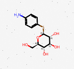 Nc1ccc(S[C@@H]2O[C@H](CO)[C@@H](O)[C@H](O)[C@H]2O)cc1